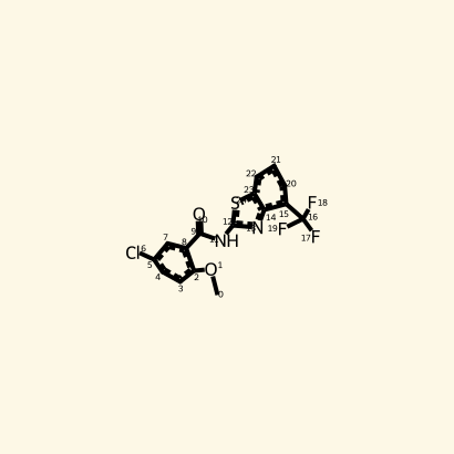 COc1ccc(Cl)cc1C(=O)Nc1nc2c(C(F)(F)F)cccc2s1